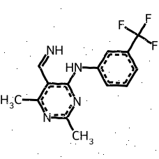 Cc1nc(C)c(C=N)c(Nc2cccc(C(F)(F)F)c2)n1